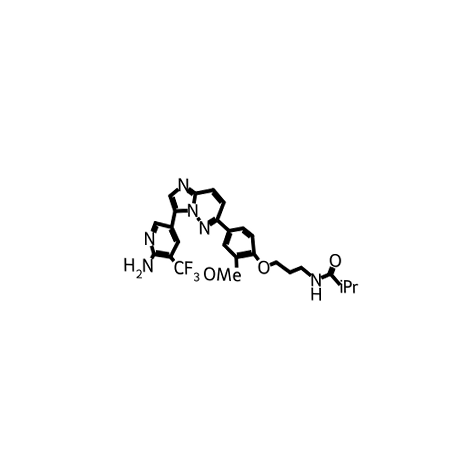 COc1cc(-c2ccc3ncc(-c4cnc(N)c(C(F)(F)F)c4)n3n2)ccc1OCCCNC(=O)C(C)C